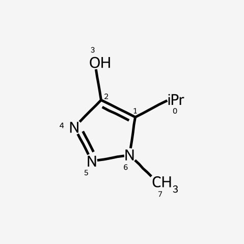 CC(C)c1c(O)nnn1C